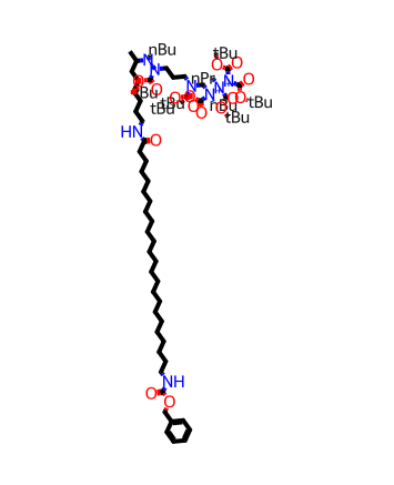 CCCCN(C(C)CCCCCCNC(=O)CCCCCCCCCCCCCCCCCCCCCCCNC(=O)OCc1ccccc1)N(CCCN(C[N+](CCCC)(C(=O)OC(C)(C)C)[N+](CCC)(C(=O)OC(C)(C)C)N(C(=O)OC(C)(C)C)C(=O)OC(C)(C)C)C(=O)OC(C)(C)C)C(=O)OC(C)(C)C